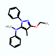 Cc1c(OCC(F)(F)F)nn(-c2ccccc2)c1N(C(=O)O)c1ccccc1